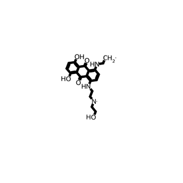 [CH2]CNc1ccc(NCC[N]CCO)c2c1C(=O)c1c(O)ccc(O)c1C2=O